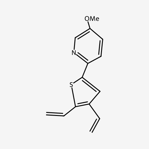 C=Cc1cc(-c2ccc(OC)cn2)sc1C=C